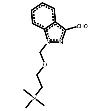 C[Si](C)(C)CCOCn1nc(C=O)c2ccccc21